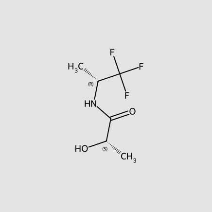 C[C@H](O)C(=O)N[C@H](C)C(F)(F)F